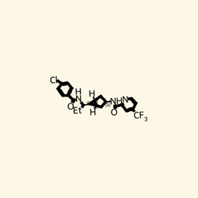 CCC(NC(=O)c1ccc(Cl)cc1)[C@H]1[C@@H]2C[C@@H](NC(=O)c3cc(C(F)(F)F)ccn3)C[C@@H]21